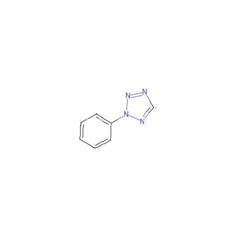 [c]1nnn(-c2ccccc2)n1